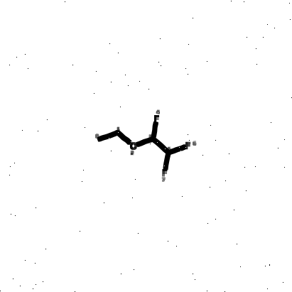 CCO[C](F)C(F)F